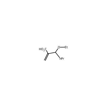 C=C(C(=O)O)C(CCC)OCC